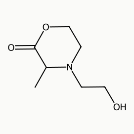 CC1C(=O)OCCN1CCO